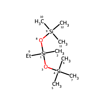 CC[Si](C)(O[Si](C)(C)C)O[Si](C)(C)C